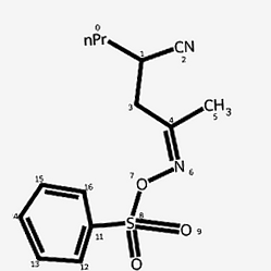 CCCC(C#N)CC(C)=NOS(=O)(=O)c1ccccc1